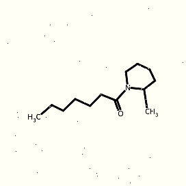 CCCCCCC(=O)N1CCCCC1C